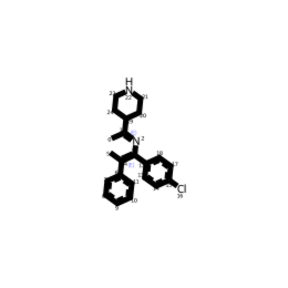 C/C(=N\C(=C(/C)c1ccccc1)c1ccc(Cl)cc1)C1CCNCC1